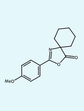 COc1ccc(C2=NC3(CCCCC3)C(=O)O2)cc1